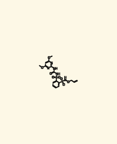 C=CCONS(=O)(=O)c1ccccc1S(=O)(=O)NC(=O)Nc1nc(OC)cc(OC)n1